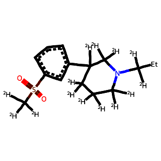 [2H]C([2H])(CC)N1C([2H])([2H])C([2H])([2H])C([2H])([2H])C([2H])(c2cccc(S(=O)(=O)C([2H])([2H])[2H])c2)C1([2H])[2H]